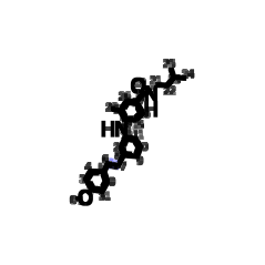 COc1ccc(/C=C/c2cccc(Nc3ccc(C(=O)NCCC(C)C)cc3C)c2)cc1